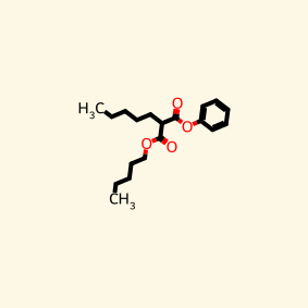 CCCCCOC(=O)C(CCCCC)C(=O)Oc1ccccc1